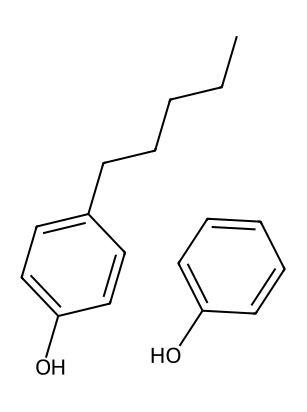 CCCCCc1ccc(O)cc1.Oc1ccccc1